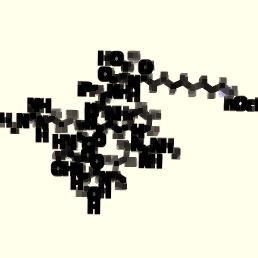 CCCCCCCC/C=C\CCCCCCCC(=O)N[C@H](C(=O)N[C@H](C(=O)N[C@@H](Cc1ccccc1)C(=O)N[C@@H](CCCNC(=N)N)C(=O)N[C@@H](CO)C(=O)N[C@@H](CO)C(=O)N[C@H](C)CCCNC(=N)N)C(C)C)[C@@H](C)O